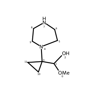 COC(O)C1(N2CCNCC2)CC1